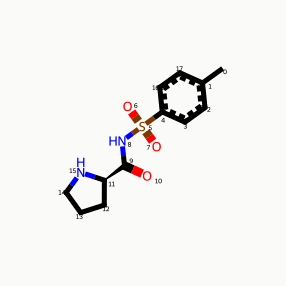 Cc1ccc(S(=O)(=O)NC(=O)[C@H]2CCCN2)cc1